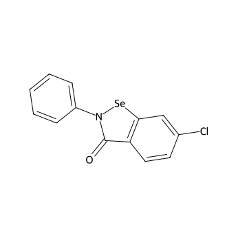 O=c1c2ccc(Cl)cc2[se]n1-c1ccccc1